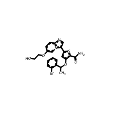 CC(Oc1cc(-c2cnc3ccc(OCCO)cn23)sc1C(N)=O)c1ccccc1Br